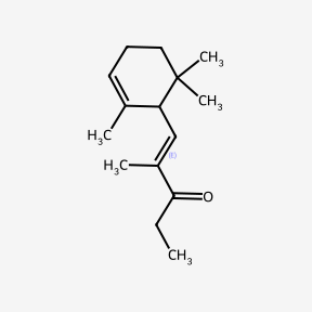 CCC(=O)/C(C)=C/C1C(C)=CCCC1(C)C